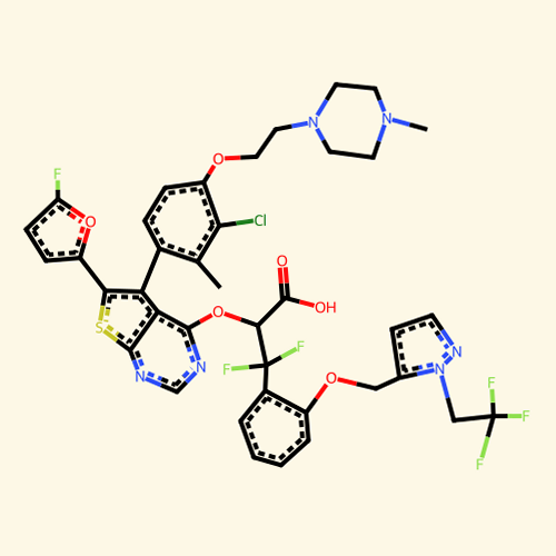 Cc1c(-c2c(-c3ccc(F)o3)sc3ncnc(OC(C(=O)O)C(F)(F)c4ccccc4OCc4ccnn4CC(F)(F)F)c23)ccc(OCCN2CCN(C)CC2)c1Cl